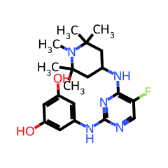 CN1C(C)(C)CC(Nc2nc(Nc3cc(O)cc(O)c3)ncc2F)CC1(C)C